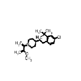 C=C(OC)C(=C)N1CCC(CCc2ccc(Cl)cc2C(C)(C)C)CC1